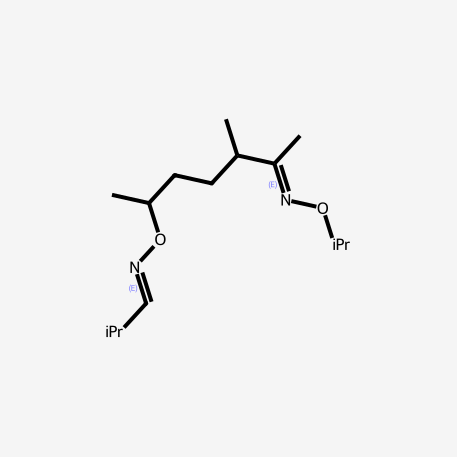 C/C(=N\OC(C)C)C(C)CCC(C)O/N=C/C(C)C